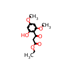 CCOC(=O)CC(=O)c1c(O)cc(OC)cc1OC